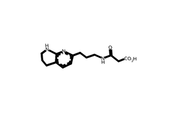 O=C(O)CC(=O)NCCCc1ccc2c(n1)NCCC2